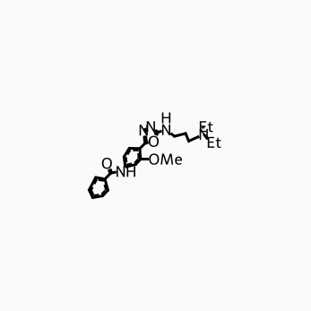 CCN(CC)CCCNc1nnc(-c2ccc(NC(=O)c3ccccc3)cc2OC)o1